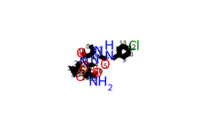 Cc1nc(C(=O)NCc2ccc(Cl)cc2)n2c1C(=O)N(CC1(S(=O)(=O)C(C)(C)C(N)=O)CC1)CC2